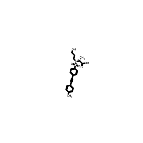 Cc1ccc(C#Cc2ccc(S(=O)(=O)N(CCCO)[C@H](C)C(=O)O)cc2)cc1